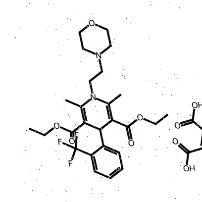 CCOC(=O)C1=C(C)N(CCN2CCOCC2)C(C)=C(C(=O)OCC)C1c1ccccc1C(F)(F)F.O=C(O)/C=C\C(=O)O